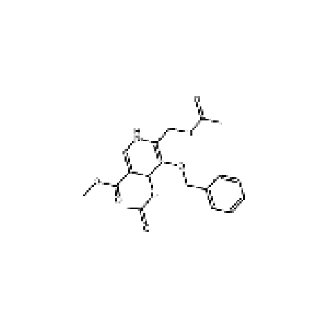 COC(=O)C1=CNC(COC(C)=O)=C(OCc2ccccc2)C1OC(C)=O